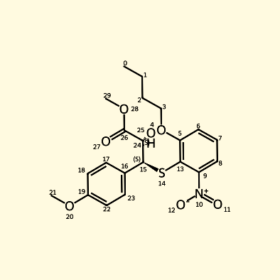 CCCCOc1cccc([N+](=O)[O-])c1S[C@@H](c1ccc(OC)cc1)[C@@H](O)C(=O)OC